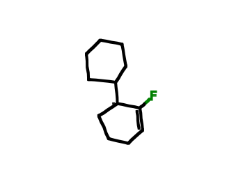 FC1=CCCC[C]1C1CCCCC1